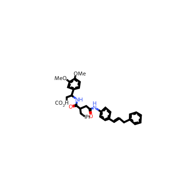 COc1ccc(C(CC(=O)O)NC(=O)C(CC(=O)Nc2ccc(/C=C/Cc3ccccc3)cc2)CC(C)C)cc1OC